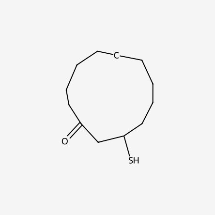 O=C1CCCCCCCCCC(S)C1